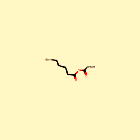 CCCCCCCCCCCCCC(=O)OC(=O)CCCCCCC